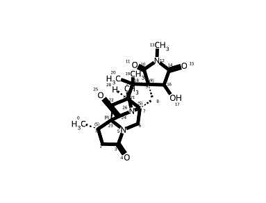 C[C@H]1CC(=O)N2C[C@]34C[C@@]5(C(=O)N(C)C(=O)C5O)C(C)(C)[C@@H]3C[C@]12C(=O)N4C